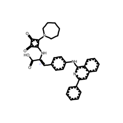 O=C(O)/C(=C/c1ccc(Nc2nc(-c3ccccc3)cc3ccccc23)cc1)Nc1c(N2CCCCCC2)c(=O)c1=O